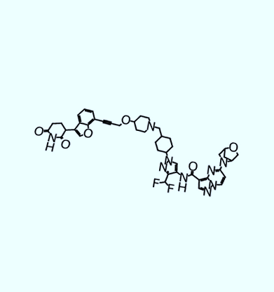 O=C1CCC(c2coc3c(C#CCOC4CCN(CC5CCC(n6cc(NC(=O)c7cnn8ccc(N9CC%10CC9CO%10)nc78)c(C(F)F)n6)CC5)CC4)cccc23)C(=O)N1